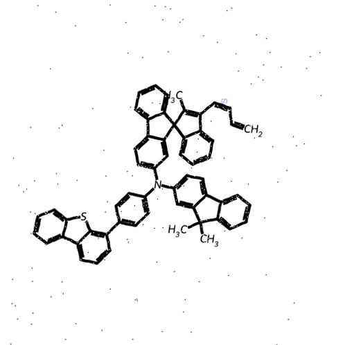 C=C/C=C\C1=C(C)C2(c3ccccc31)c1ccccc1-c1ccc(N(c3ccc(-c4cccc5c4sc4ccccc45)cc3)c3ccc4c(c3)C(C)(C)c3ccccc3-4)cc12